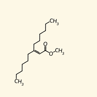 CCCCCCC(=CC(=O)OC)CCCCCC